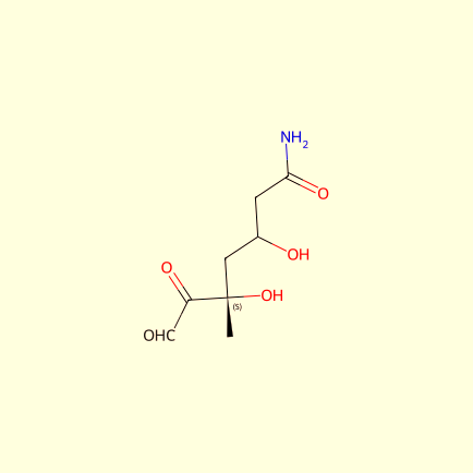 C[C@](O)(CC(O)CC(N)=O)C(=O)C=O